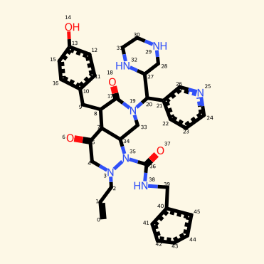 C=CCN1CC(=O)C2C(Cc3ccc(O)cc3)C(=O)N(C(c3cccnc3)C3CNCCN3)CC2N1C(=O)NCc1ccccc1